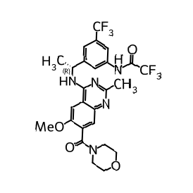 COc1cc2c(N[C@H](C)c3cc(NC(=O)C(F)(F)F)cc(C(F)(F)F)c3)nc(C)nc2cc1C(=O)N1CCOCC1